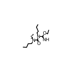 CCCCN(SC)C(=O)N(CCCC)C(=N)OCC